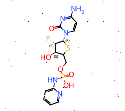 Nc1ccn([C@@H]2SC(COP(=O)(O)Nc3ccccn3)[C@@H](O)[C@@H]2F)c(=O)n1